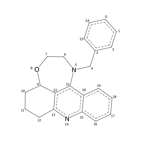 c1ccc(CN2CCOC3CCCc4nc5ccccc5c2c43)cc1